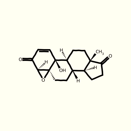 C[C@]12CC[C@H]3[C@@H](CC[C@]45O[C@H]4C(=O)C=C[C@]35O)[C@@H]1CCC2=O